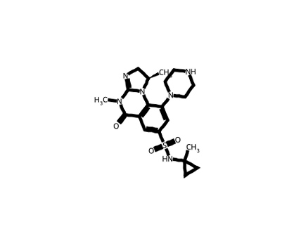 C[C@@H]1CN=C2N(C)C(=O)c3cc(S(=O)(=O)NC4(C)CC4)cc(N4CCNCC4)c3N21